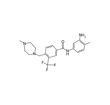 Cc1ccc(NC(=O)c2ccc(CN3CCN(C)CC3)c(C(F)(F)F)c2)cc1N